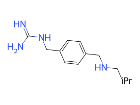 CC(C)CNCc1ccc(CNC(=N)N)cc1